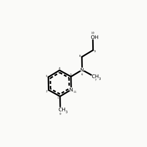 Cc1cccc(N(C)CCO)n1